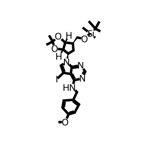 COc1ccc(CNc2ncnc3c2c(I)cn3[C@@H]2C[C@H](CO[Si](C)(C)C(C)(C)C)[C@H]3OC(C)(C)O[C@H]32)cc1